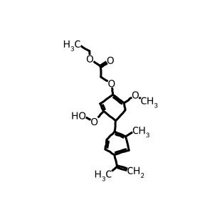 C=C(C)c1ccc(C2CC(OC)=C(OCC(=O)OCC)C=C2OO)c(C)c1